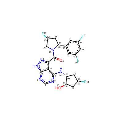 O=C(c1n[nH]c2ncnc(N[C@@H]3C[C@@H](F)C[C@H]3O)c12)N1C[C@@H](F)C[C@@H]1c1cc(F)cc(F)c1